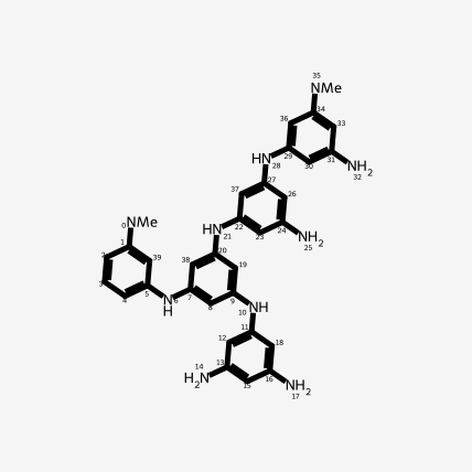 CNc1cccc(Nc2cc(Nc3cc(N)cc(N)c3)cc(Nc3cc(N)cc(Nc4cc(N)cc(NC)c4)c3)c2)c1